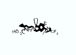 O=C(O)NC1(CCCn2ccc3cc(-c4ncc(C(F)(F)F)cn4)c(F)cc3c2=O)CC1